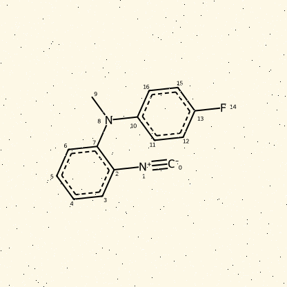 [C-]#[N+]c1ccccc1N(C)c1ccc(F)cc1